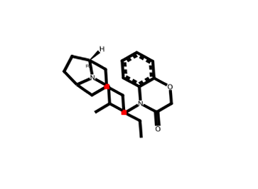 CCCCC1CC2CC[C@H](C1)N2CC(C)CN1C(=O)COc2ccccc21